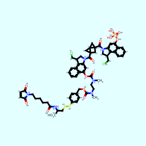 CN(CCN(C)C(=O)Oc1cc2c(c3ccccc13)C(CCl)CN2C(=O)C12CC3(C(=O)N4CC(CCl)c5c4cc(OP(=O)(O)O)c4ccccc54)CC13C2)C(=O)OCc1ccc(SSCC(NC(=O)CCCCCN2C(=O)C=CC2=O)C(=O)O)cc1